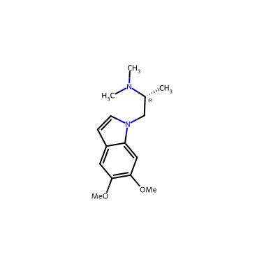 COc1cc2ccn(C[C@@H](C)N(C)C)c2cc1OC